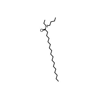 CCCCCCCCCCCCCCCCCC(=O)N(CC)CCCC